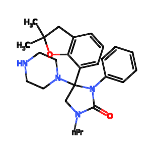 CCCN1CC(c2cccc3c2OC(C)(C)C3)(N2CCNCC2)N(c2ccccc2)C1=O